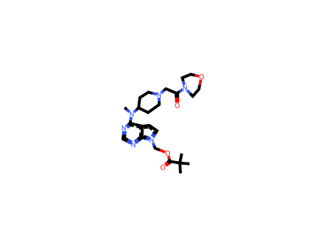 CN(c1ncnc2c1ccn2COC(=O)C(C)(C)C)C1CCN(CC(=O)N2CCOCC2)CC1